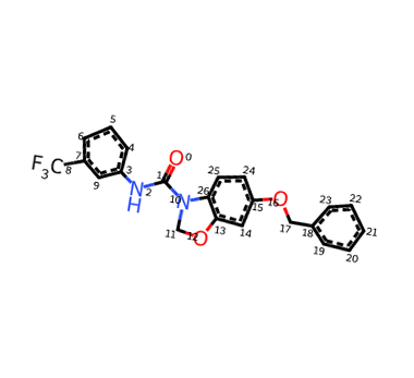 O=C(Nc1cccc(C(F)(F)F)c1)N1COc2cc(OCc3ccccc3)ccc21